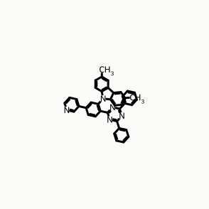 Cc1ccc2c(c1)c1cc(C)ccc1n2-c1cc(-c2cccnc2)ccc1-c1nc(-c2ccccc2)nc(-c2ccccc2)n1